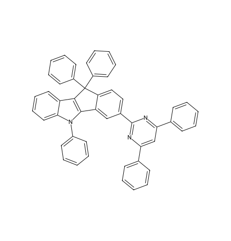 c1ccc(-c2cc(-c3ccccc3)nc(-c3ccc4c(c3)-c3c(c5ccccc5n3-c3ccccc3)C4(c3ccccc3)c3ccccc3)n2)cc1